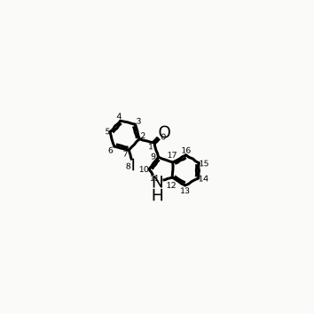 O=C(c1ccccc1I)c1c[nH]c2ccccc12